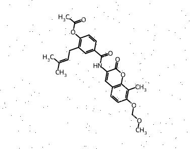 COCOc1ccc2cc(NC(=O)c3ccc(OC(C)=O)c(CC=C(C)C)c3)c(=O)oc2c1C